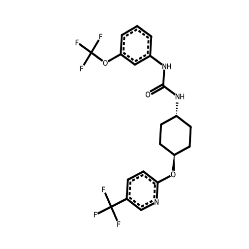 O=C(Nc1cccc(OC(F)(F)F)c1)N[C@H]1CC[C@H](Oc2ccc(C(F)(F)F)cn2)CC1